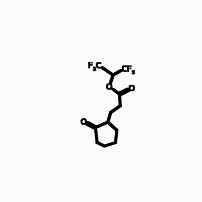 O=C(CCC1CCCCC1=O)OC(C(F)(F)F)C(F)(F)F